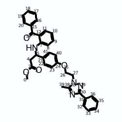 COC(=O)CC(Nc1ccccc1C(=O)c1ccccc1)c1ccc(OCCn2nc(-c3ccccc3)nc2C)cc1